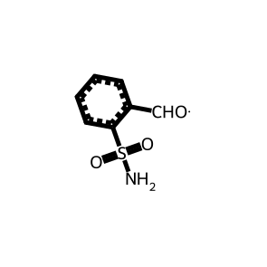 NS(=O)(=O)c1ccccc1[C]=O